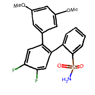 COc1cc(OC)cc(-c2cc(F)c(F)cc2-c2ccccc2S(N)(=O)=O)c1